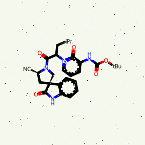 CC(C)CC(C(=O)N1C[C@]2(C[C@H]1C#N)C(=O)Nc1ccccc12)n1cccc(NC(=O)OC(C)(C)C)c1=O